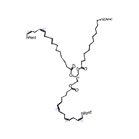 CCCCC/C=C\C/C=C\C/C=C\CCCCC(=O)OC[C@H](COC(=O)CCCCCCCCCCCCCCCCCCCCC)OC(=O)CCCCCCCCC/C=C\C/C=C\CCCCC